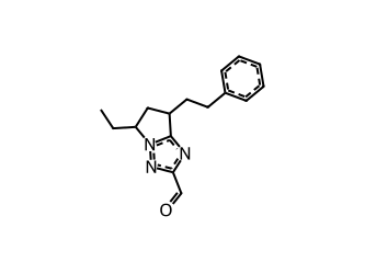 CCC1CC(CCc2ccccc2)c2nc(C=O)nn21